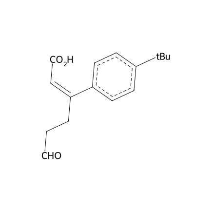 CC(C)(C)c1ccc(/C(=C\C(=O)O)CCC=O)cc1